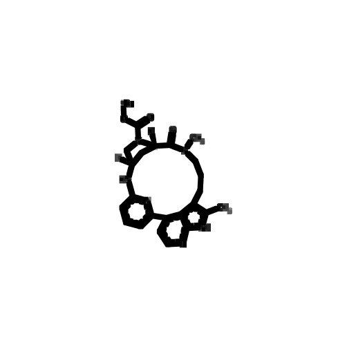 Cc1[nH]c2nccc3c2c1CCCN(C)C(=O)[C@@H]1C[C@@H](CN1C(=O)OC(C)(C)C)Nc1cccc-3n1